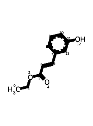 CCOC(=O)C=Cc1cccc(O)c1